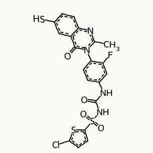 Cc1nc2ccc(S)cc2c(=O)n1-c1ccc(NC(=O)NS(=O)(=O)c2ccc(Cl)s2)cc1F